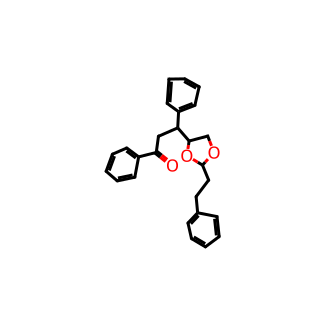 O=C(CC(c1ccccc1)C1COC(CCc2ccccc2)O1)c1ccccc1